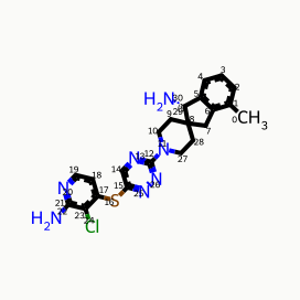 Cc1cccc2c1CC1(CCN(c3ncc(Sc4ccnc(N)c4Cl)nn3)CC1)[C@@H]2N